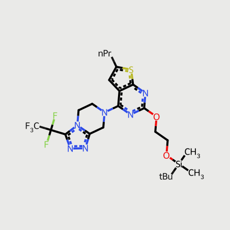 CCCc1cc2c(N3CCn4c(nnc4C(F)(F)C(F)(F)F)C3)nc(OCCO[Si](C)(C)C(C)(C)C)nc2s1